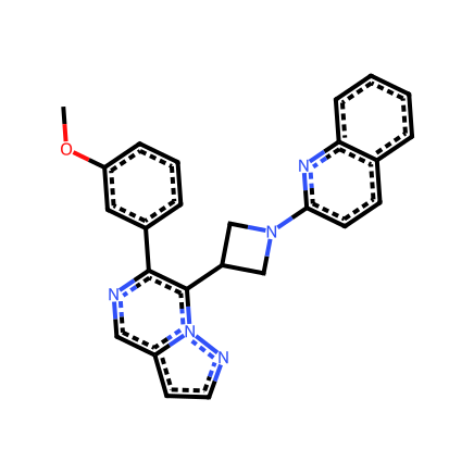 COc1cccc(-c2ncc3ccnn3c2C2CN(c3ccc4ccccc4n3)C2)c1